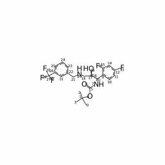 CC(C)(C)OC(=O)N[C@@H](c1ccc(F)cc1F)[C@H](O)CNCc1cccc(C(F)(F)F)c1